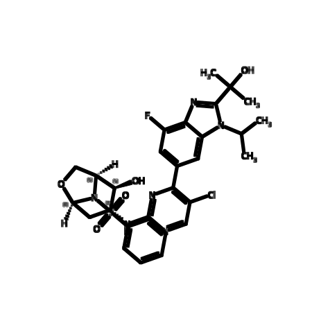 CC(C)n1c(C(C)(C)O)nc2c(F)cc(-c3nc(N[C@@H]4C[C@H]5OC[C@@H]([C@H]4O)N5S(=O)(=O)c4ccccc4)ncc3Cl)cc21